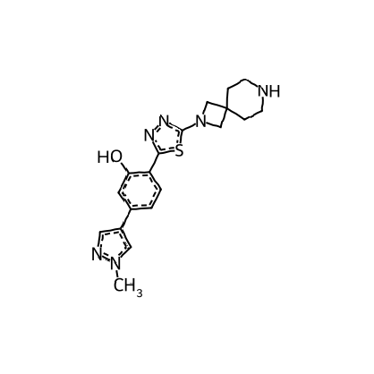 Cn1cc(-c2ccc(-c3nnc(N4CC5(CCNCC5)C4)s3)c(O)c2)cn1